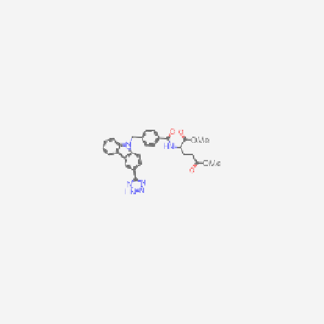 COC(=O)CCC(NC(=O)c1ccc(Cn2c3ccccc3c3cc(-c4nn[nH]n4)ccc32)cc1)C(=O)OC